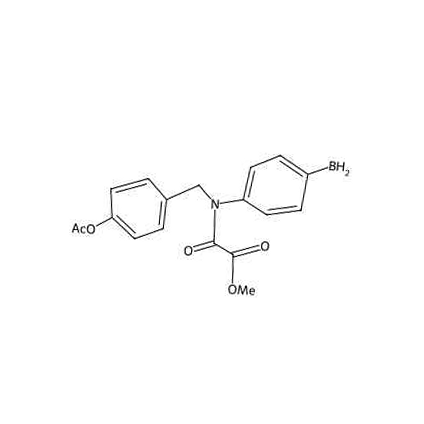 Bc1ccc(N(Cc2ccc(OC(C)=O)cc2)C(=O)C(=O)OC)cc1